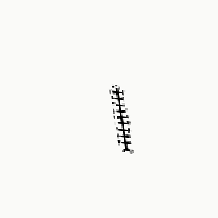 FC(F)C(F)(F)C(F)(F)C(F)(F)C(F)(F)C(F)(F)C(F)(F)C(F)(F)C(F)(F)C(F)(F)C(F)(F)F